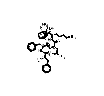 CC(C)C[C@@H](NC(=O)[C@@H](Cc1ccccc1)NC(=O)[C@H](N)Cc1ccccc1)C(=O)N[C@H](CCCCN)C(=O)C1[C@@H]2CC[C@H]1C(B(O)O)C2